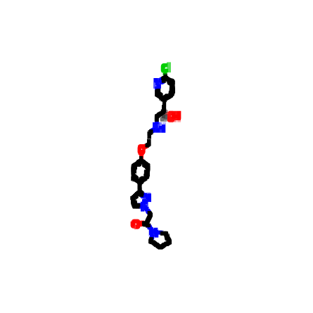 O=C(Cn1ccc(-c2ccc(OCCNC[C@@H](O)c3ccc(Cl)nc3)cc2)n1)N1CCCC1